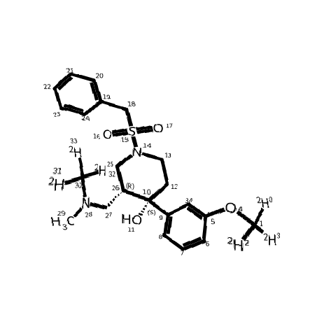 [2H]C([2H])([2H])Oc1cccc([C@]2(O)CCN(S(=O)(=O)Cc3ccccc3)C[C@H]2CN(C)C([2H])([2H])[2H])c1